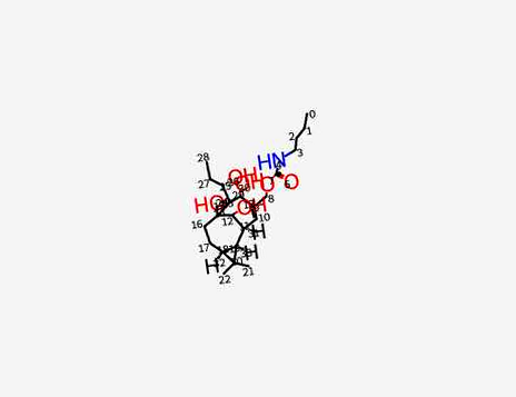 CCCCNC(=O)OCC1=C[C@@H]2C(O)[C@](C)(CC[C@@H]3[C@H]2C3(C)C)[C@@](O)([C@@H](O)CC)[C@@H]1O